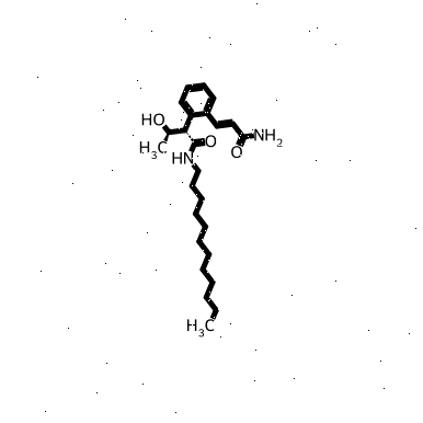 CCCCCCCCCCCCNC(=O)[C@@H](c1ccccc1C=CC(N)=O)[C@@H](C)O